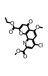 CCOC(=O)c1cc(=O)c2c(OC)cc3c(Cl)cc(C(=O)OC)nc3c2o1